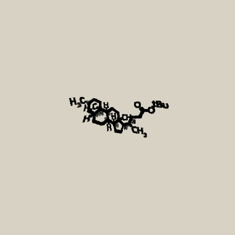 C[C@@H]1CC[C@@]2(C)[C@H](CC[C@@H]3[C@@H]2CC[C@]2(C)[C@@H]([C@H](C)CCC(=O)OC(C)(C)C)CC[C@@H]32)C1